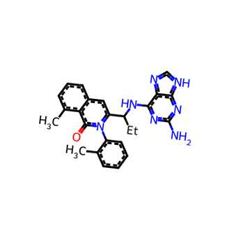 CCC(Nc1nc(N)nc2[nH]cnc12)c1cc2cccc(C)c2c(=O)n1-c1ccccc1C